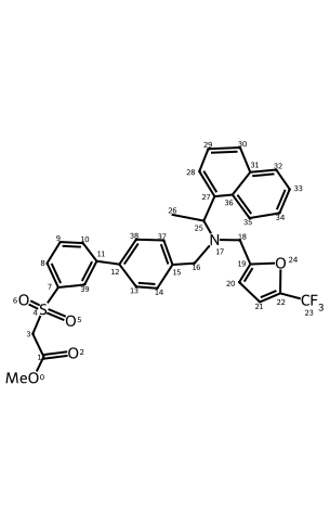 COC(=O)CS(=O)(=O)c1cccc(-c2ccc(CN(Cc3ccc(C(F)(F)F)o3)C(C)c3cccc4ccccc34)cc2)c1